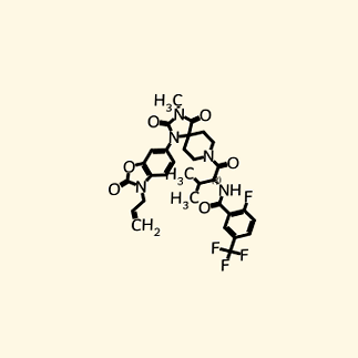 C=CCn1c(=O)oc2cc(N3C(=O)N(C)C(=O)C34CCN(C(=O)[C@H](NC(=O)c3cc(C(F)(F)F)ccc3F)C(C)C)CC4)ccc21